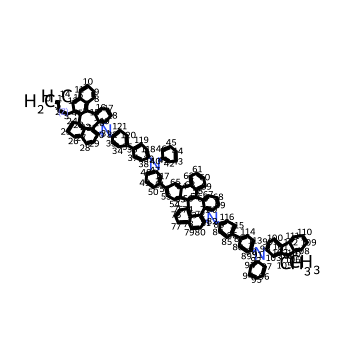 C=C/C=C\c1c2c(c3ccccc3c1C)-c1cccc3c1c1c4c-2cccc4ccc1n3-c1ccc(-c2ccc(N(c3ccccc3)c3cccc(-c4ccc5c6c(c7ccccc7c5c4)-c4cccc5c4c4c7c-6cccc7ccc4n5-c4ccc(-c5ccc(N(c6ccccc6)c6ccc7c(c6)C(C)(C)c6ccccc6-7)cc5)cc4)c3)cc2)cc1